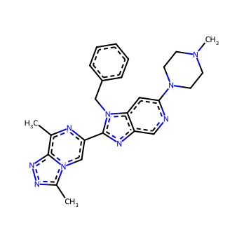 Cc1nc(-c2nc3cnc(N4CCN(C)CC4)cc3n2Cc2ccccc2)cn2c(C)nnc12